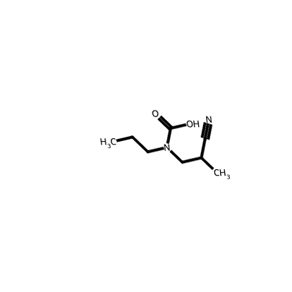 CCCN(CC(C)C#N)C(=O)O